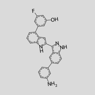 Nc1cccc(-c2ccc3[nH]nc(-c4cc5c(-c6cc(O)cc(F)c6)cccc5[nH]4)c3c2)c1